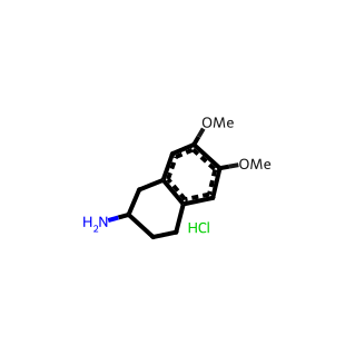 COc1cc2c(cc1OC)CC(N)CC2.Cl